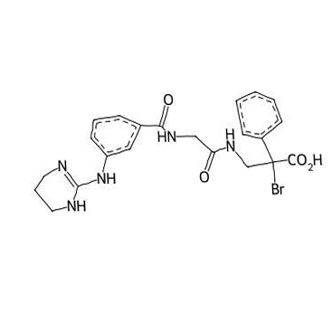 O=C(CNC(=O)c1cccc(NC2=NCCCN2)c1)NCC(Br)(C(=O)O)c1ccccc1